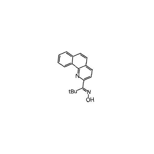 CC(C)(C)C(=NO)c1ccc2ccc3ccccc3c2n1